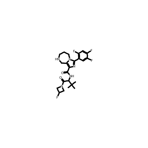 CC(C)(C)C(NC(=O)c1nc(-c2cc(F)c(F)cc2F)n2c1CNCCC2)C(=O)N1CC(F)C1